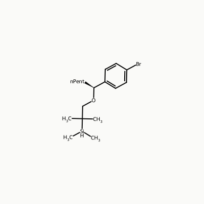 CCCCC[C@H](OCC(C)(C)[SiH](C)C)c1ccc(Br)cc1